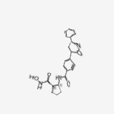 O=C(N[C@H]1CCC[C@H]1C(=O)NO)c1ccc(C2CC(c3cccnc3)=NO2)cc1